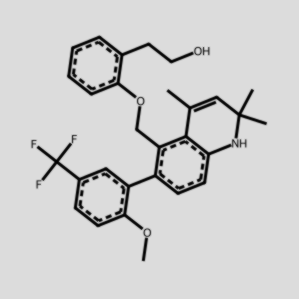 COc1ccc(C(F)(F)F)cc1-c1ccc2c(c1COc1ccccc1CCO)C(C)=CC(C)(C)N2